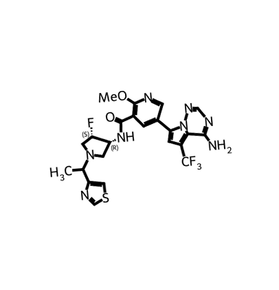 COc1ncc(-c2cc(C(F)(F)F)c3c(N)ncnn23)cc1C(=O)N[C@@H]1CN(C(C)c2cscn2)C[C@@H]1F